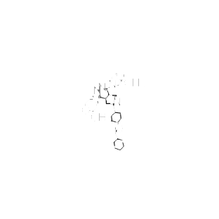 CC1CN(c2nnc(N3CCOC(C)C3)c3cc(-c4ccc(OCc5ccccc5)cc4)ncc23)CCO1